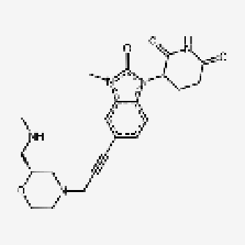 CNC[C@H]1CN(CC#Cc2ccc3c(c2)n(C)c(=O)n3C2CCC(=O)NC2=O)CCO1